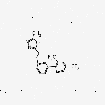 Cc1nnc(C[CH]c2cccc(-c3ccc(C(F)(F)F)cc3C(F)(F)F)c2)o1